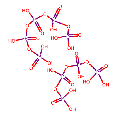 O=P(O)(O)OP(=O)(O)OP(=O)(O)OP(=O)(O)O.O=P(O)(O)OP(=O)(O)OP(=O)(O)OP(=O)(O)OP(=O)(O)O